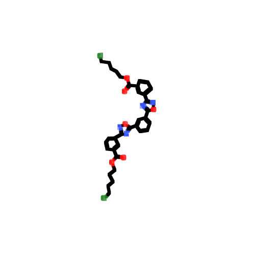 O=C(OCCCCCCl)c1cccc(-c2noc(-c3cccc(-c4nc(-c5cccc(C(=O)OCCCCCCl)c5)no4)c3)n2)c1